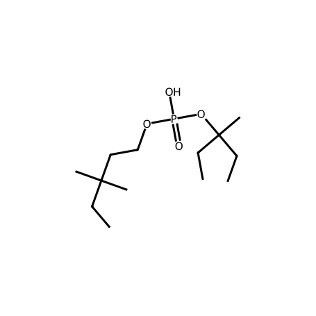 CCC(C)(C)CCOP(=O)(O)OC(C)(CC)CC